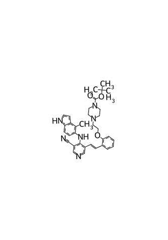 Cc1c(Nc2c(C#N)cncc2/C=C/c2ccccc2OCCN2CCN(C(=O)OC(C)(C)C)CC2)ccc2[nH]ccc12